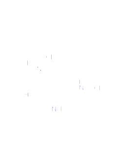 CCNC1C=CC2C(C(C)CCN(C)CC)=CNC2CC1